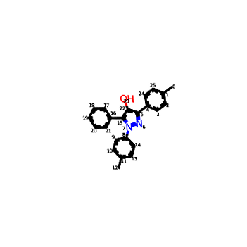 Cc1ccc(-c2nn(-c3ccc(C)cc3)c(-c3ccccc3)c2O)cc1